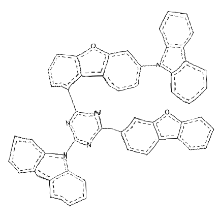 c1ccc2c(c1)oc1cc(-c3nc(-c4cccc5oc6cc(-n7c8ccccc8c8ccccc87)ccc6c45)nc(-n4c5ccccc5c5ccccc54)n3)ccc12